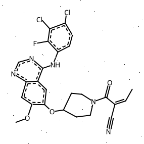 C/C=C(/C#N)C(=O)N1CCC(Oc2cc3c(Nc4ccc(Cl)c(Cl)c4F)ncnc3cc2OC)CC1